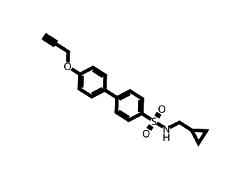 C#CCOc1ccc(-c2ccc(S(=O)(=O)NCC3CC3)cc2)cc1